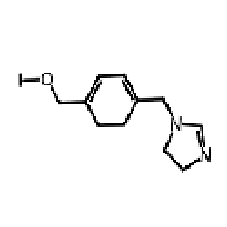 IOCC1=CC=C(CN2C=NCC2)CC1